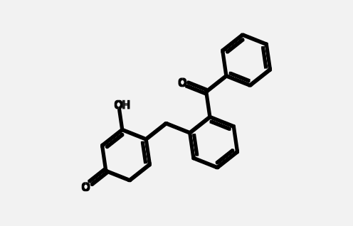 O=C1C=C(O)C(Cc2ccccc2C(=O)c2ccccc2)=CC1